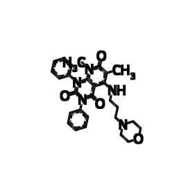 Cc1c(NCCCN2CCOCC2)c2c(=O)n(-c3ccccc3)c(=O)n(-c3ccccc3)c2n(C)c1=O